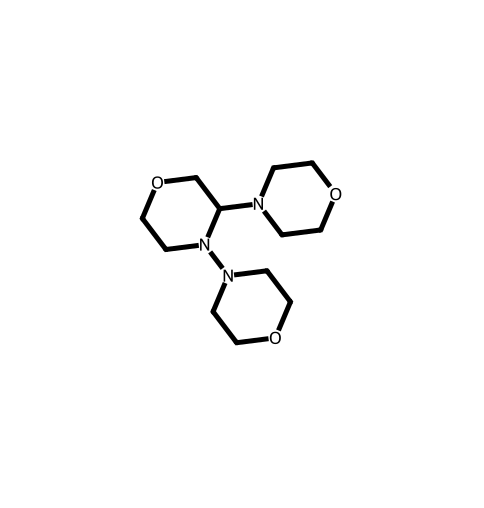 C1CN(C2COCCN2N2CCOCC2)CCO1